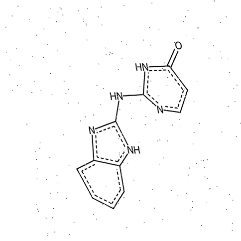 O=c1ccnc(Nc2nc3ccccc3[nH]2)[nH]1